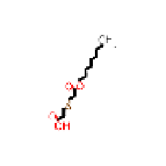 CCCCCCCCCOC(=O)CCSCCC(=O)O